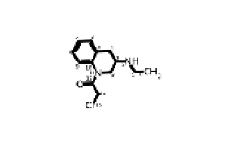 CCNC1Cc2ccccc2N(C(=O)CCl)C1